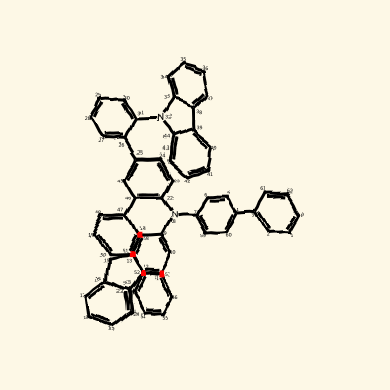 c1ccc(-c2ccc(N(c3ccc4c(c3)Cc3ccccc3-4)c3ccc(-c4ccccc4-n4c5ccccc5c5ccccc54)cc3-c3cccc(-c4ccccc4)c3)cc2)cc1